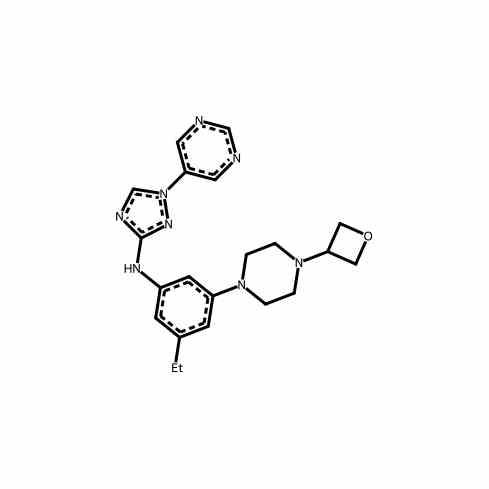 CCc1cc(Nc2ncn(-c3cncnc3)n2)cc(N2CCN(C3COC3)CC2)c1